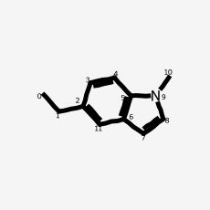 CCc1ccc2c(ccn2C)c1